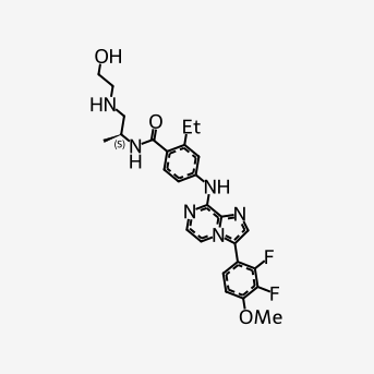 CCc1cc(Nc2nccn3c(-c4ccc(OC)c(F)c4F)cnc23)ccc1C(=O)N[C@@H](C)CNCCO